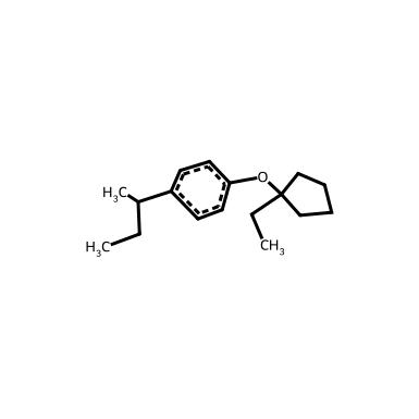 CCC(C)c1ccc(OC2(CC)CCCC2)cc1